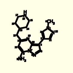 Cn1cc(-c2cnn3c(N)cc(CC4CCNCC4)nc23)cn1